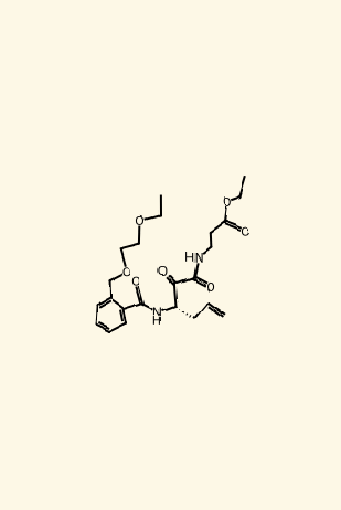 C=CC[C@H](NC(=O)c1ccccc1COCCOCC)C(=O)C(=O)NCCC(=O)OCC